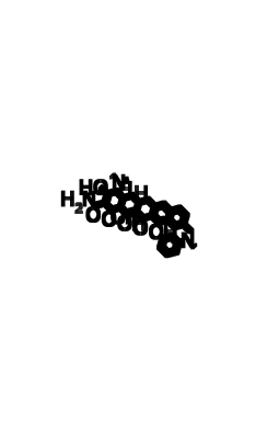 CN(Cc1ccc2cc3c(c(O)c2c1)C(=O)C1=C(O)[C@]2(O)C(=O)C(C(N)=O)=C(O)[C@@H](N(C)C)[C@@H]2C[C@@H]1C3)c1ccccc1